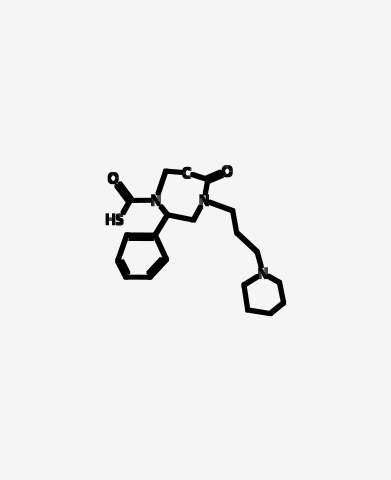 O=C1CCN(C(=O)S)C(c2ccccc2)CN1CCCN1CCCCC1